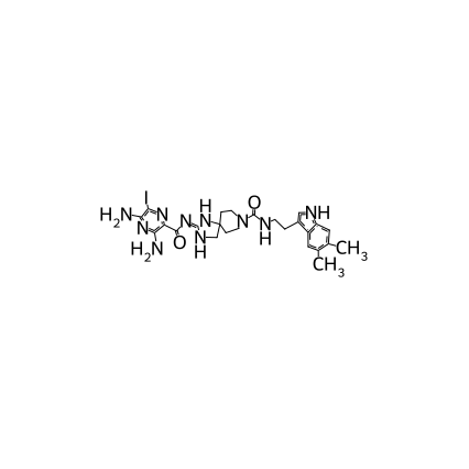 Cc1cc2[nH]cc(CCNC(=O)N3CCC4(CC3)CN/C(=N\C(=O)c3nc(I)c(N)nc3N)N4)c2cc1C